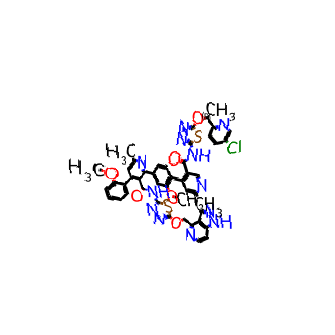 COc1cc(-c2nc(C)cc(-c3ccccc3OC)c2C(=O)Nc2nnc(OCc3nccc4[nH]ncc34)s2)ccc1-c1cc(C)ncc1C(=O)Nc1nnc(O[C@H](C)c2ccc(Cl)cn2)s1